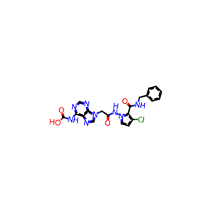 O=C(O)Nc1ncnc2c1ncn2CC(=O)Nn1ccc(Cl)c1C(=O)NCc1ccccc1